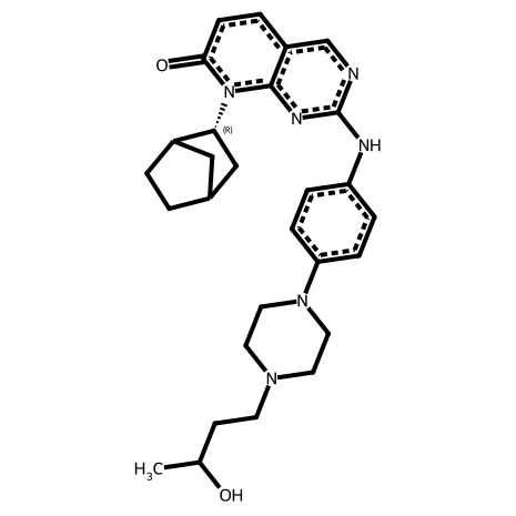 CC(O)CCN1CCN(c2ccc(Nc3ncc4ccc(=O)n([C@@H]5CC6CCC5C6)c4n3)cc2)CC1